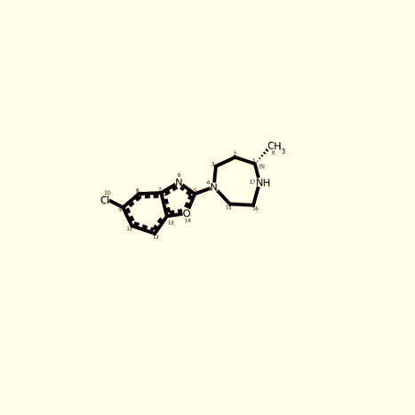 C[C@H]1CCN(c2nc3cc(Cl)ccc3o2)CCN1